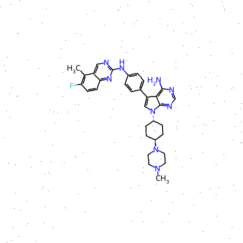 Cc1c(F)ccc2nc(Nc3ccc(-c4cn([C@H]5CC[C@H](N6CCN(C)CC6)CC5)c5ncnc(N)c45)cc3)ncc12